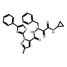 Cc1cc(C(=O)N[C@@H](Cc2ccccc2)C(=O)C(=O)NC2CC2)n(-c2nc(-c3ccccc3)cs2)n1